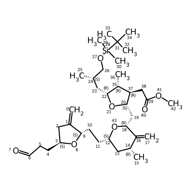 C=C1C[C@H](CCC=O)O[C@H]1CC[C@H]1C[C@@H](C)C(=C)[C@@H](C[C@@H]2O[C@H](C[C@H](C)CO[Si](C)(C)C(C)(C)C)[C@H](C)[C@H]2CC(=O)OC)O1